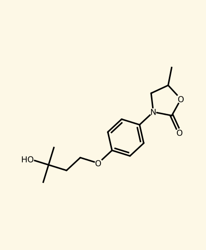 CC1CN(c2ccc(OCCC(C)(C)O)cc2)C(=O)O1